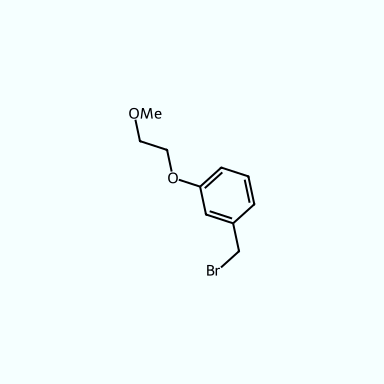 COCCOc1cccc(CBr)c1